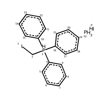 I.IC[PH](c1ccccc1)(c1ccccc1)c1ccccc1.P